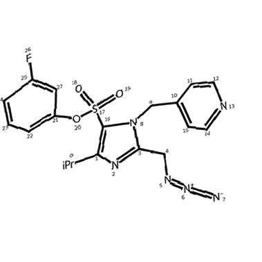 CC(C)c1nc(CN=[N+]=[N-])n(Cc2ccncc2)c1S(=O)(=O)Oc1cccc(F)c1